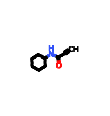 C#CC(=O)NC1CCCCC1